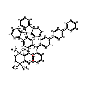 CC1(C)CCC(C)(C)c2c(-c3cc4c(cc3N(c3ccccc3)c3ccc(-c5ccc(-c6ccccc6)cc5)cc3)C3(c5ccccc5-c5ccccc53)c3ccccc3-4)cccc21